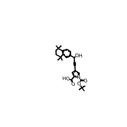 CC(C)(C)OC(=O)n1cc(C#CC(O)c2ccc3c(c2)C(C)(C)CCC3(C)C)cc1C(=O)O